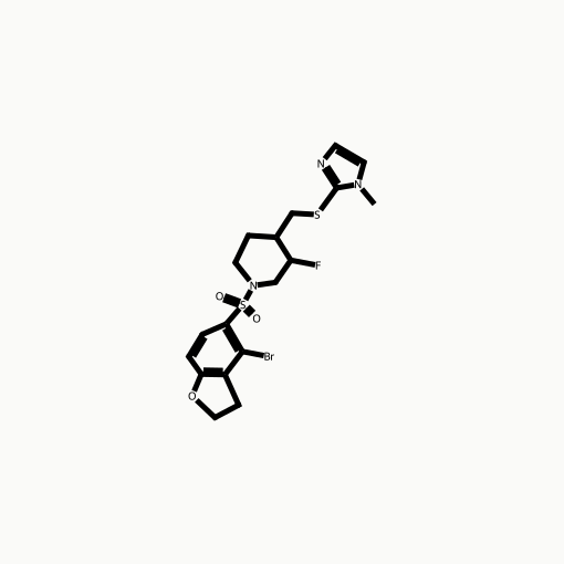 Cn1ccnc1SCC1CCN(S(=O)(=O)c2ccc3c(c2Br)CCO3)CC1F